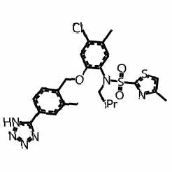 Cc1csc(S(=O)(=O)N(CC(C)C)c2cc(C)c(Cl)cc2OCc2ccc(-c3nnn[nH]3)cc2C)n1